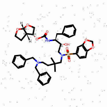 CC(C)(CCN(Cc1ccccc1)Cc1ccccc1)CN(C[C@@H](O)[C@H](Cc1ccccc1)NC(=O)O[C@H]1CO[C@H]2OCC[C@H]21)S(=O)(=O)c1ccc2c(c1)OCO2